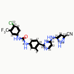 Cc1cc(NC(=O)Nc2ccc(Cl)c(C(F)(F)F)c2)ccc1-c1nccc(Nc2cc(C#N)n[nH]2)n1